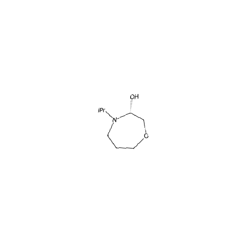 CC(C)N1CCCOC[C@H]1O